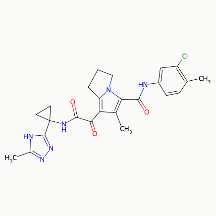 Cc1nnc(C2(NC(=O)C(=O)c3c(C)c(C(=O)Nc4ccc(C)c(Cl)c4)n4c3CCC4)CC2)[nH]1